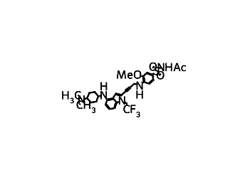 COc1cc(S(=O)(=O)NC(C)=O)ccc1NCC#Cc1cc2c(NC3CCC(N(C)C)CC3)cccc2n1CC(F)(F)F